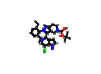 CCc1cccc(CC)c1-n1nc2c(c1-c1ncc(Cl)c3[nH]ccc13)CN(C(=O)OC(C)(C)C)CC2